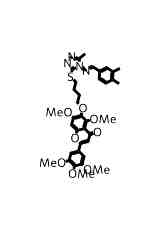 COc1cc(-c2cc(=O)c3c(OC)c(OCCCCSc4nnc(C)n4N=Cc4ccc(C)c(C)c4)c(OC)cc3o2)cc(OC)c1OC